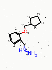 NNCc1ccccc1OCC1CCCC1